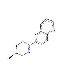 C[C@H]1CCC(c2ccc3ncccc3c2)=NC1